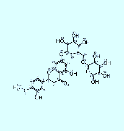 COc1ccc(C2CC(=O)c3c(O)cc(OC4OC(COC5OC(O)C(O)C(O)C5O)C(O)C(O)C4O)cc3O2)cc1O